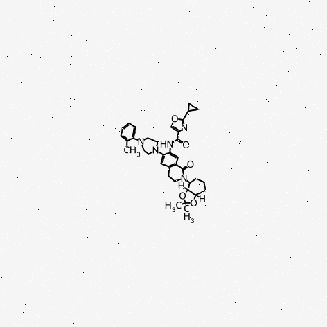 Cc1ccccc1N1CCN(c2cc3c(cc2NC(=O)c2coc(C4CC4)n2)C(=O)N(C2CCC[C@@H]4OC(C)(C)O[C@H]24)CC3)CC1